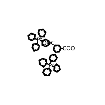 O=C([O-])c1cccc(C(=O)[O-])c1.c1ccc([P+](c2ccccc2)(c2ccccc2)c2ccccc2)cc1.c1ccc([P+](c2ccccc2)(c2ccccc2)c2ccccc2)cc1